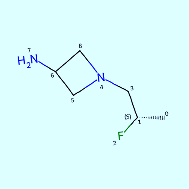 C[C@H](F)CN1CC(N)C1